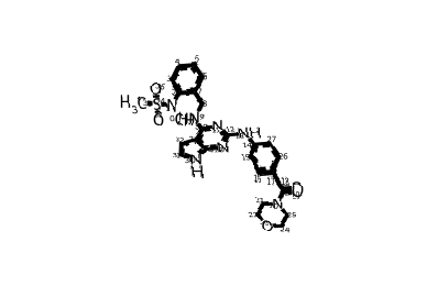 CN(c1ccccc1CNc1nc(Nc2ccc(C(=O)N3CCOCC3)cc2)nc2[nH]ccc12)S(C)(=O)=O